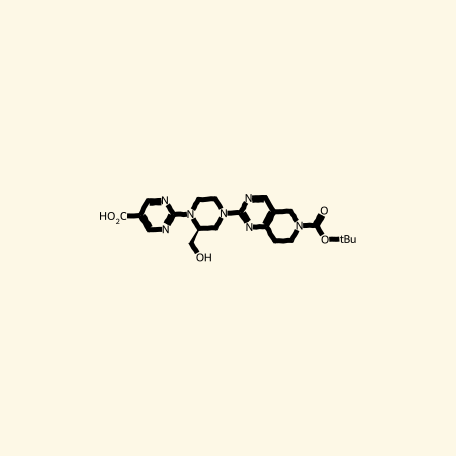 CC(C)(C)OC(=O)N1CCc2nc(N3CCN(c4ncc(C(=O)O)cn4)[C@H](CO)C3)ncc2C1